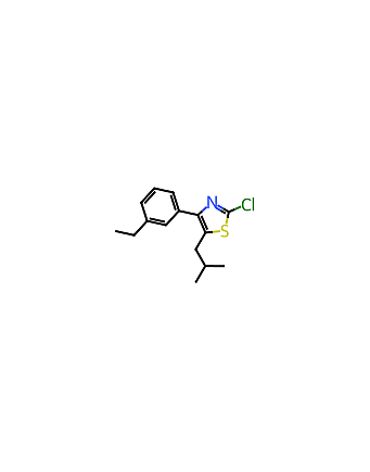 CCc1cccc(-c2nc(Cl)sc2CC(C)C)c1